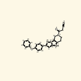 N#CCC(=O)N1CCc2[nH]c3cc(-c4ccc(Oc5ccccc5)cc4)nn3c2C1